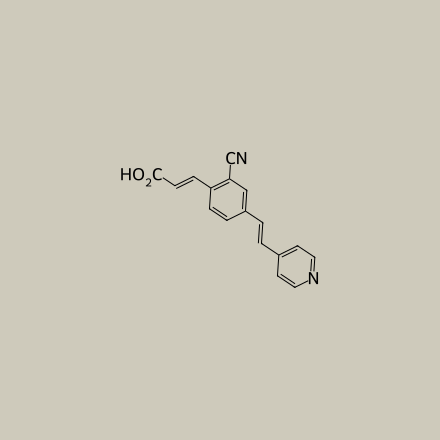 N#Cc1cc(/C=C/c2ccncc2)ccc1/C=C/C(=O)O